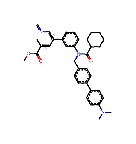 C=N/C=C(\C=C(/C)C(=O)OC)c1cccc(N(Cc2ccc(-c3ccc(N(C)C)cc3)cc2)C(=O)C2CCCCC2)c1